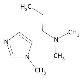 CCCN(C)C.Cn1ccnc1